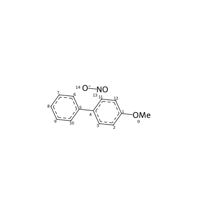 COc1ccc(-c2ccccc2)cc1.O=[NH+][O-]